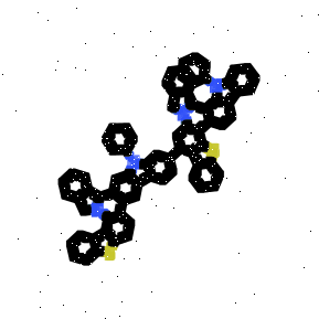 c1ccc(-n2c3cc(-c4cc5c(c6ccc7c8ccccc8n(-c8ccccc8)c7c6c6c7ccccc7cn56)c5sc6ccccc6c45)ccc3c3cc4c(cc32)c2c3ccccc3cn2c2c4ccc3sc4ccccc4c32)cc1